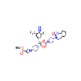 CCCCOC(=O)[C@@H]1CCN(C2CCN(C(=O)[C@@H](Cc3cc(Cl)c(N)c(C(F)(F)F)c3)OC(=O)N3CCC(N4CCc5ccccc5NC4=O)CC3)CC2)C1